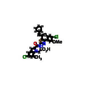 COc1cc(-c2nc(NC(=O)c3cc4cc(Cl)cc(C)c4n3CC(=O)O)sc2CCC2CCCCC2)c(OC)cc1Cl